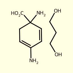 NC1=CCC(N)(C(=O)O)C=C1.OCCCO